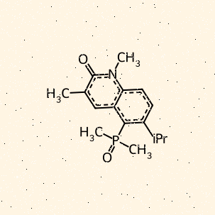 Cc1cc2c(P(C)(C)=O)c(C(C)C)ccc2n(C)c1=O